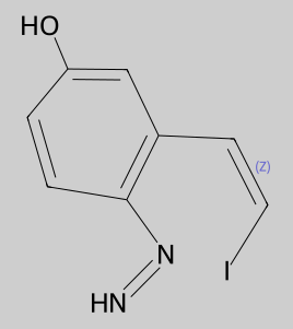 N=Nc1ccc(O)cc1/C=C\I